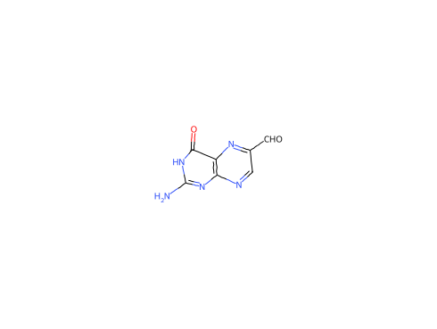 Nc1nc2ncc(C=O)nc2c(=O)[nH]1